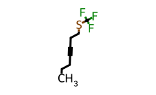 CCCC#CCCSC(F)(F)F